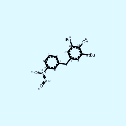 CC(C)(C)c1cc(Cc2cccc([N+]([O-])=S=O)c2)cc(C(C)(C)C)c1O